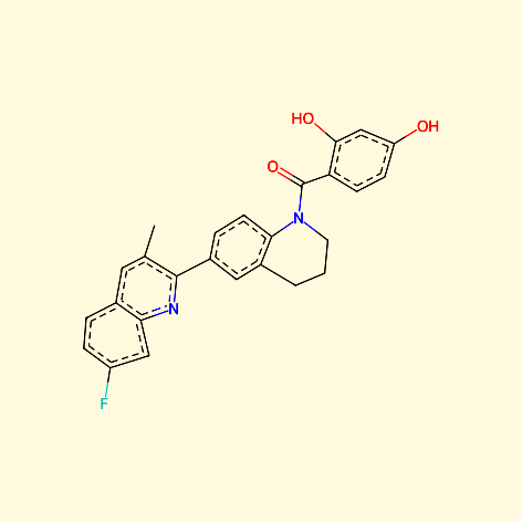 Cc1cc2ccc(F)cc2nc1-c1ccc2c(c1)CCCN2C(=O)c1ccc(O)cc1O